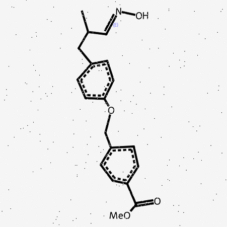 COC(=O)c1ccc(COc2ccc(CC(C)/C=N/O)cc2)cc1